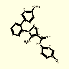 COc1ccc(-c2ccccc2-n2ncc(C(=O)Nc3ccc(Cl)cn3)c2N)cn1